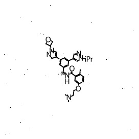 Cc1ccc(OCCN(C)C)cc1C(=O)N[C@H](C)c1cc(-c2cnn(C(C)C)c2)cc(-c2cnn(C3COC3)c2)c1